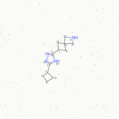 C1CC(c2nnc(C3CC4(CNC4)C3)[nH]2)C1